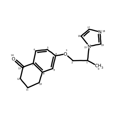 CC(COc1ccc2c(c1)CCCC2=O)n1ccnc1